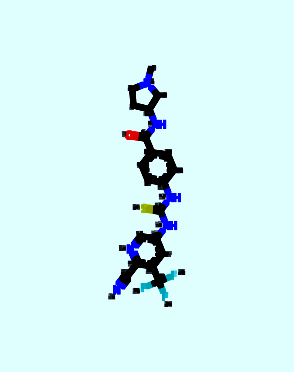 CN1CCC(NC(=O)c2ccc(NC(=S)Nc3cnc(C#N)c(C(F)(F)F)c3)cc2)C1